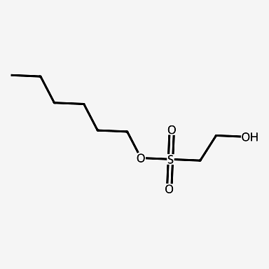 CCCCCCOS(=O)(=O)CCO